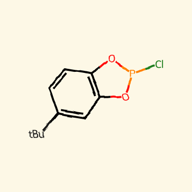 CC(C)(C)c1ccc2c(c1)OP(Cl)O2